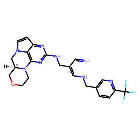 N=C/C(=C\NCc1ccc(C(F)(F)F)nc1)CNc1nc2c3c(ccn3C[C@@H]3COCCN23)n1